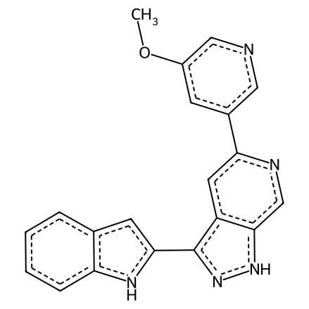 COc1cncc(-c2cc3c(-c4cc5ccccc5[nH]4)n[nH]c3cn2)c1